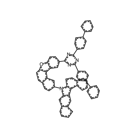 c1ccc(-c2ccc(-c3nc(-c4ccc(-c5ccccc5)cc4)nc(-c4ccc5oc6ccc7ccc(-n8c9cc%10ccccc%10cc9c9c%10ccccc%10ccc98)cc7c6c5c4)n3)cc2)cc1